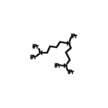 CC(C)N(CCCCN(C(C)C)C(C)C)CCCN(C(C)C)C(C)C